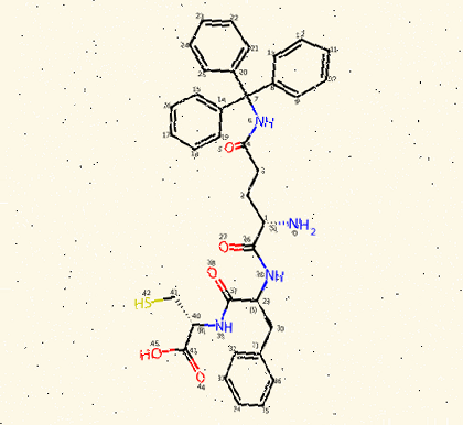 N[C@@H](CCC(=O)NC(c1ccccc1)(c1ccccc1)c1ccccc1)C(=O)N[C@@H](Cc1ccccc1)C(=O)N[C@@H](CS)C(=O)O